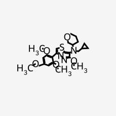 COCc1cc(OC)c(-c2csc3c(N(CC4CC4)C4CCCOC4)c(OC)nn23)c(OC)c1